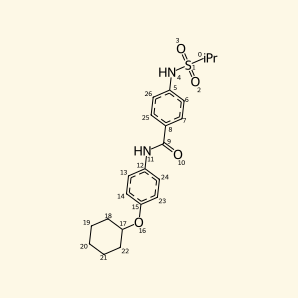 CC(C)S(=O)(=O)Nc1ccc(C(=O)Nc2ccc(OC3CCCCC3)cc2)cc1